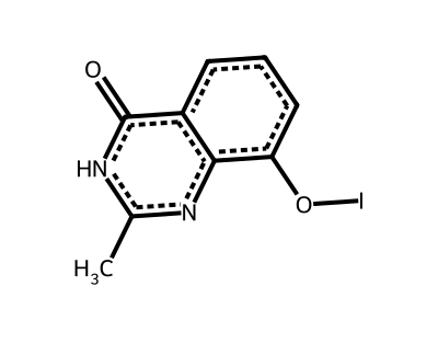 Cc1nc2c(OI)cccc2c(=O)[nH]1